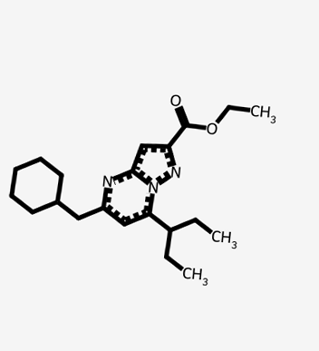 CCOC(=O)c1cc2nc(CC3CCCCC3)cc(C(CC)CC)n2n1